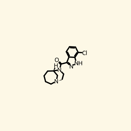 O=C(c1n[nH]c2c(Cl)cccc12)N1CC[N@]2CCCC[C@H]1C2